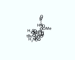 COc1cc(Nc2cc(Oc3ccc(N(C(N)=O)c4cc(C(C)(C)C)cc(NS(C)(=O)=O)c4OC)c4ccccc34)ccn2)ccc1C(=O)NCCCCN1CCOCC1